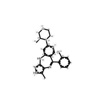 Cc1[nH]nc2c1N=C(c1ccccc1Cl)c1cnc(N3CCOC[C@@H]3C)cc1N2